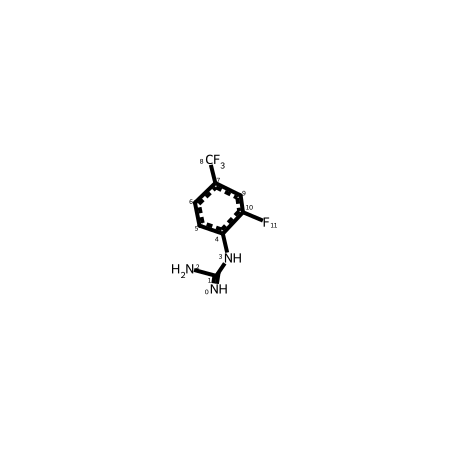 N=C(N)Nc1ccc(C(F)(F)F)cc1F